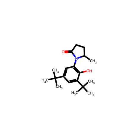 CC1CCC(=O)N1c1cc(C(C)(C)C)cc(C(C)(C)C)c1O